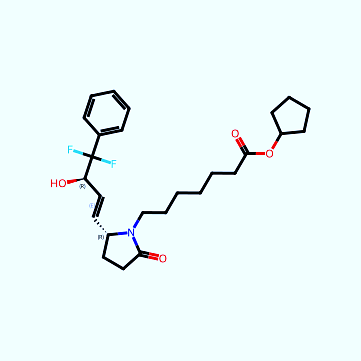 O=C(CCCCCCN1C(=O)CC[C@@H]1/C=C/[C@@H](O)C(F)(F)c1ccccc1)OC1CCCC1